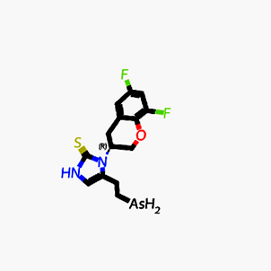 Fc1cc(F)c2c(c1)C[C@@H](n1c(CC[AsH2])c[nH]c1=S)CO2